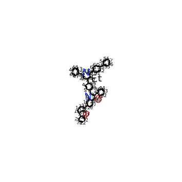 CCc1c(-c2ccc(-c3nc4cc(C5=CC=CC6C=C5Oc5ccccc56)ccc4c4oc5ccccc5c34)cc2)cc(-c2ccccc2)nc1-c1ccc(-c2ccccc2)cc1